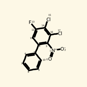 O=[N+]([O-])c1c(-c2ccccc2)cc(F)c(Cl)c1Cl